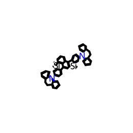 C[Si]1(C)c2cc(N3c4ccccc4CCc4ccccc43)ccc2-c2c1cc1c3c(cccc23)[Si](C)(C)c2cc(N3c4ccccc4CCc4ccccc43)ccc2-1